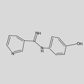 N=C(Nc1ccc(O)cc1)c1cccnc1